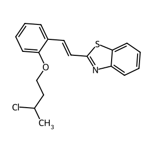 CC(Cl)CCOc1ccccc1C=Cc1nc2ccccc2s1